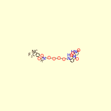 CC1(C)CN(CCOCCOCCOCCOCCNc2cccc3c2C(=O)N(C2CCC(=O)NC2=O)C3=O)C(=O)C1Oc1ccc(C#N)c(C(F)(F)F)c1